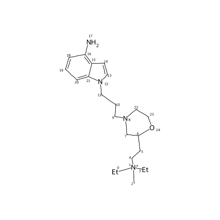 CC[N+](C)(CC)CCC1CN(CCCn2ccc3c(N)cccc32)CCO1